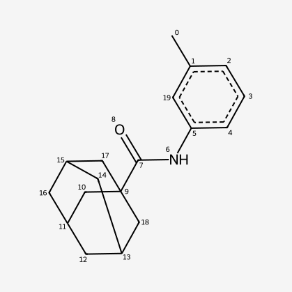 Cc1cccc(NC(=O)C23CC4CC(CC(C4)C2)C3)c1